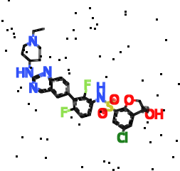 CCN1CCC(Nc2ncc3cc(-c4c(F)ccc(NS(=O)(=O)c5cc(Cl)cc6c5OC[C@H]6O)c4F)ccc3n2)CC1